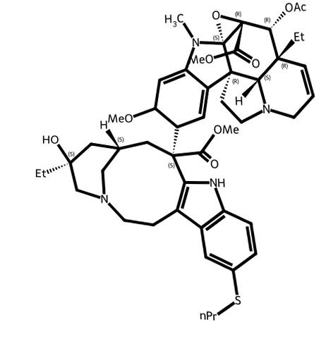 CCCSc1ccc2[nH]c3c(c2c1)CCN1C[C@H](C[C@@](O)(CC)C1)C[C@]3(C(=O)OC)C1C=C2C(=CC1OC)N(C)[C@@]13O[C@]1(C(=O)OC)[C@H](OC(C)=O)[C@]1(CC)C=CCN4CC[C@]23[C@@H]41